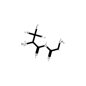 CCC(=O)OC(=O)C(C)C(F)(F)F